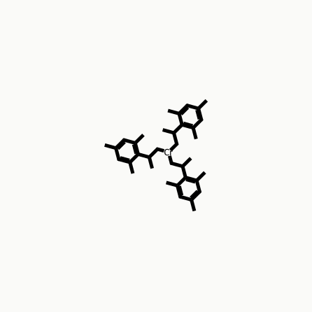 Cc1cc(C)c(C(C)[CH2][Cr]([CH2]C(C)c2c(C)cc(C)cc2C)[CH2]C(C)c2c(C)cc(C)cc2C)c(C)c1